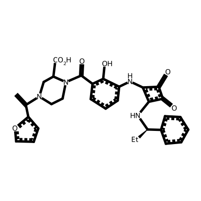 C=C(c1ccco1)N1CCN(C(=O)c2cccc(Nc3c(N[C@H](CC)c4ccccc4)c(=O)c3=O)c2O)C(C(=O)O)C1